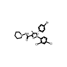 C[C@@H]1C(C(=O)NN2CCCCC2)=NN(c2ccc(Cl)cc2Cl)[C@H]1c1ccc(Br)cc1